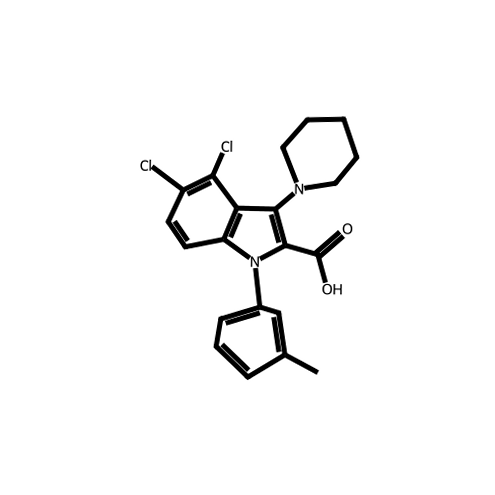 Cc1cccc(-n2c(C(=O)O)c(N3CCCCC3)c3c(Cl)c(Cl)ccc32)c1